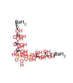 O=P(O)(O)O.O=P(O)(O)O.O=[Si](O)O.O=[Si](O)O.O=[Si](O)O.O=[Si](O)O.O=[Si](O)O.[BaH2].[BaH2].[Y].[Y].[Y].[Y].[Y]